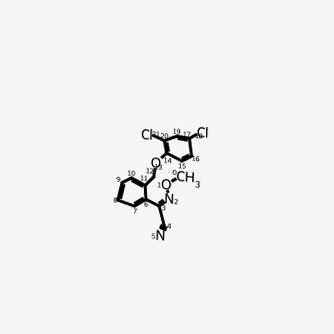 CO/N=C(/C#N)c1ccccc1COc1ccc(Cl)cc1Cl